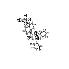 CC(C)(C)NS(=O)(=O)c1cccc2c(NC(=O)[C@@H](Cc3ccccc3)NC(=O)c3ccccc3)cccc12